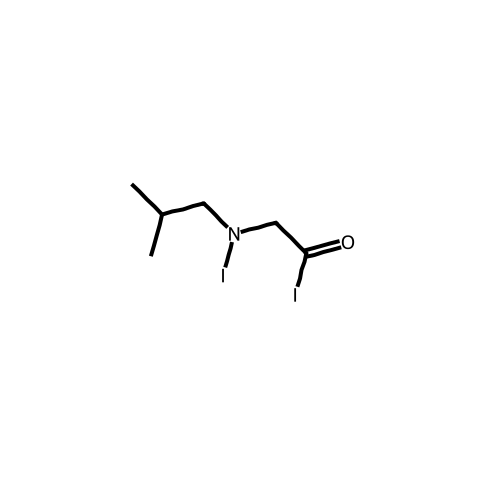 CC(C)CN(I)CC(=O)I